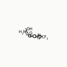 C[C@@H](O)[C@H](N)CO[C@@H]1CCN(C2CCN(c3ncc(C(F)(F)F)cn3)CC2)C1=O